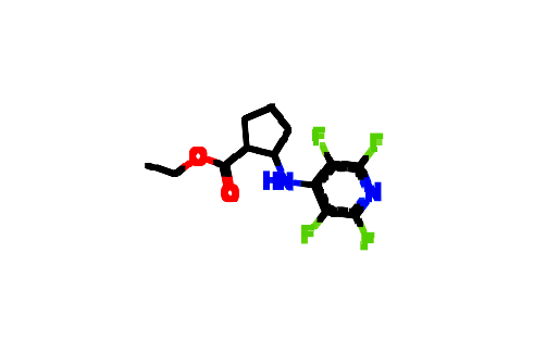 CCOC(=O)C1CCCC1Nc1c(F)c(F)nc(F)c1F